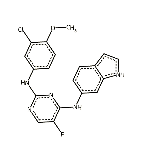 COc1ccc(Nc2ncc(F)c(Nc3ccc4cc[nH]c4c3)n2)cc1Cl